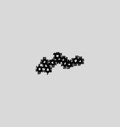 c1ccc(-c2c3ccccc3c(-c3ccc(-c4nc5c(cnc6c5ccc5ccc(-c7ccc8ccccc8c7)nc56)c5ccccc45)cc3)c3ccccc23)cc1